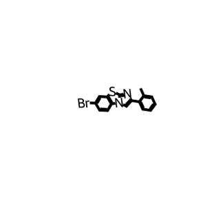 Cc1ccccc1-c1cn2c(n1)sc1cc(Br)ccc12